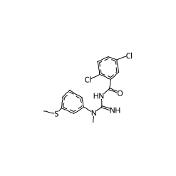 CSc1cccc(N(C)C(=N)NC(=O)c2cc(Cl)ccc2Cl)c1